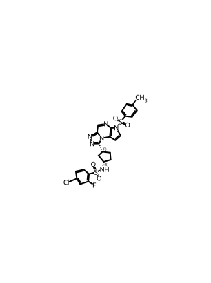 Cc1ccc(S(=O)(=O)n2ccc3c2ncc2nnc([C@@H]4CC[C@H](NS(=O)(=O)c5ccc(Cl)cc5F)C4)n23)cc1